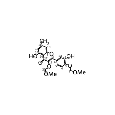 COCOc1ccc(-c2oc3cc(C)cc(O)c3c(=O)c2OCOC)cc1O